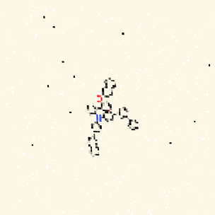 c1ccc(-c2cccc(-c3ccc(N(c4ccc(-c5ccc6ccccc6c5)cc4)c4ccccc4-c4cccc5c4oc4cc6ccccc6cc45)cc3)c2)cc1